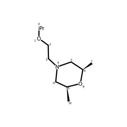 CC(C)OCCN1C[C@@H](C)O[C@@H](C)C1